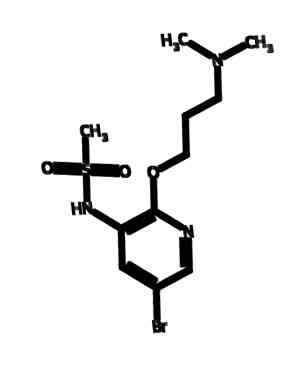 CN(C)CCCOc1ncc(Br)cc1NS(C)(=O)=O